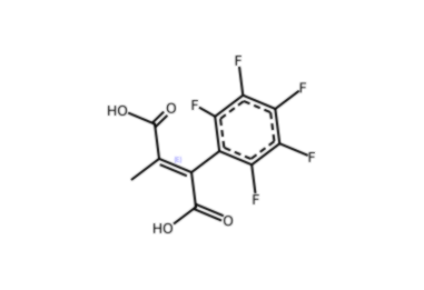 C/C(C(=O)O)=C(\C(=O)O)c1c(F)c(F)c(F)c(F)c1F